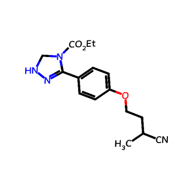 CCOC(=O)N1CNN=C1c1ccc(OCCC(C)C#N)cc1